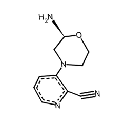 N#Cc1ncccc1N1CCO[C@H](N)C1